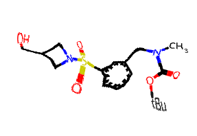 CN(Cc1cccc(S(=O)(=O)N2CC(CO)C2)c1)C(=O)OC(C)(C)C